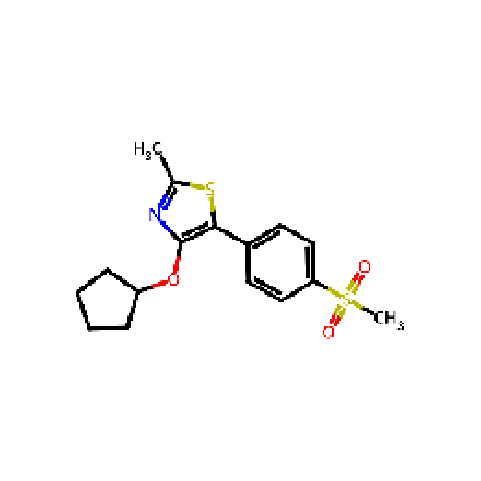 Cc1nc(OC2CCCC2)c(-c2ccc(S(C)(=O)=O)cc2)s1